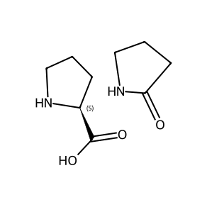 O=C(O)[C@@H]1CCCN1.O=C1CCCN1